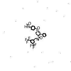 CC(=O)Nc1ccc(C(=O)N2CC[C@H](C(=O)N(C)Cc3cc(C(F)(F)F)cc(C(F)(F)F)c3)[C@H](c3ccccc3)C2)cc1